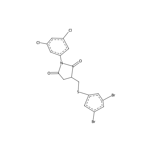 O=C1CC(CSc2cc(Br)cc(Br)c2)C(=O)N1c1cc(Cl)cc(Cl)c1